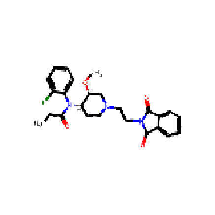 CCC(=O)N(c1ccccc1F)[C@H]1CCN(CCN2C(=O)c3ccccc3C2=O)C[C@@H]1OC